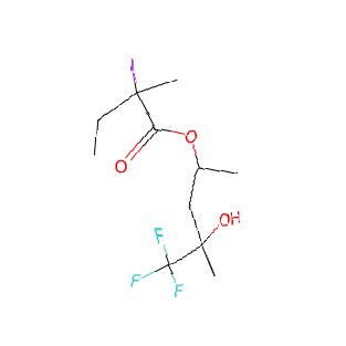 CCC(C)(I)C(=O)OC(C)CC(C)(O)C(F)(F)F